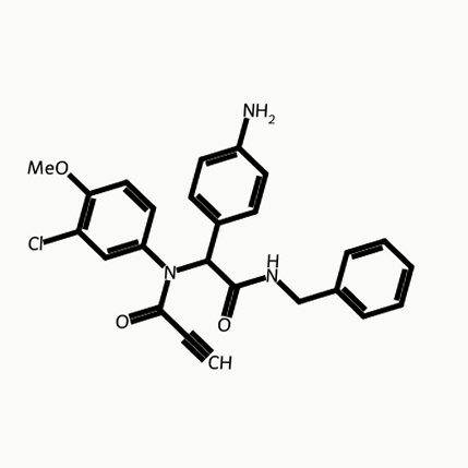 C#CC(=O)N(c1ccc(OC)c(Cl)c1)C(C(=O)NCc1ccccc1)c1ccc(N)cc1